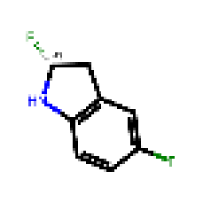 Fc1ccc2c(c1)C[C@@H](F)N2